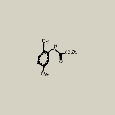 CCOC(=O)C(=O)Nc1cc(OC)ccc1O